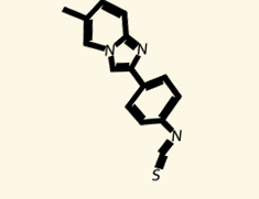 Cc1ccc2nc(-c3ccc(N=C=S)cc3)cn2c1